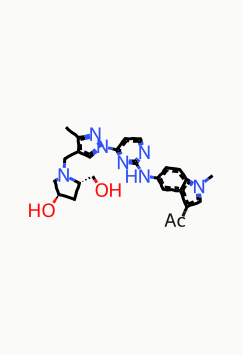 CC(=O)c1cn(C)c2ccc(Nc3nccc(-n4cc(CN5C[C@H](O)C[C@H]5CO)c(C)n4)n3)cc12